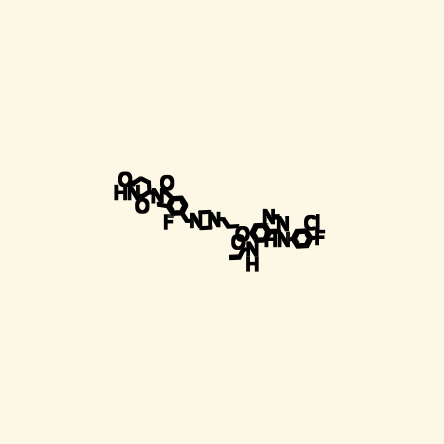 C=CC(=O)Nc1cc2c(Nc3ccc(F)c(Cl)c3)ncnc2cc1OCCCN1CCN(Cc2ccc3c(c2F)CN(C2CCC(=O)NC2=O)C3=O)CC1